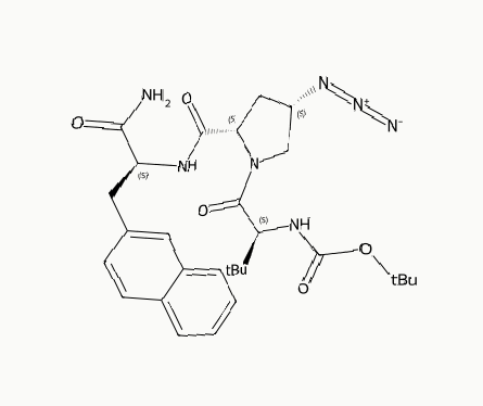 CC(C)(C)OC(=O)N[C@H](C(=O)N1C[C@@H](N=[N+]=[N-])C[C@H]1C(=O)N[C@@H](Cc1ccc2ccccc2c1)C(N)=O)C(C)(C)C